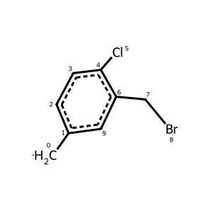 [CH2]c1ccc(Cl)c(CBr)c1